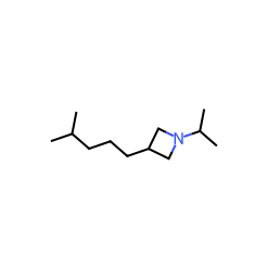 CC(C)CCCC1CN(C(C)C)C1